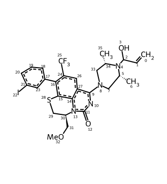 C=CC(O)N1[C@H](C)CN(c2nc(=O)n3c4c(c(-c5cccc(I)c5)c(C(F)(F)F)cc24)SC[C@@H]3COC)C[C@@H]1C